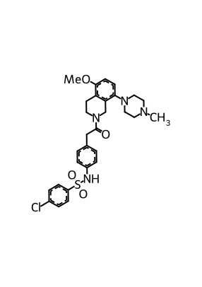 COc1ccc(N2CCN(C)CC2)c2c1CCN(C(=O)Cc1ccc(NS(=O)(=O)c3ccc(Cl)cc3)cc1)C2